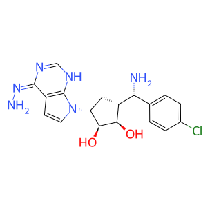 N/N=c1/nc[nH]c2c1ccn2[C@@H]1C[C@H]([C@H](N)c2ccc(Cl)cc2)[C@@H](O)[C@H]1O